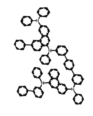 c1ccc(-c2cccc(N(c3ccccc3)c3cc4ccc(N(c5ccccc5)c5cccc(-c6ccc(-c7cccc(N(c8ccccc8)c8cc9ccc(N(c%10ccccc%10)c%10ccccc%10)cc9c9cc(-c%10ccccc%10)ccc89)c7)cc6)c5)cc4c4ccccc34)c2)cc1